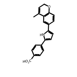 CC1=CCOc2ccc(-c3ccc(-c4ccc(C(=O)O)cc4)[nH]3)cc21